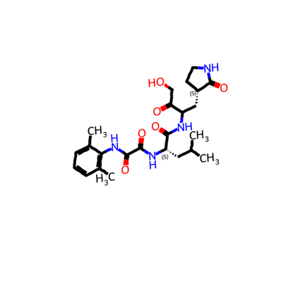 Cc1cccc(C)c1NC(=O)C(=O)N[C@@H](CC(C)C)C(=O)NC(C[C@@H]1CCNC1=O)C(=O)CO